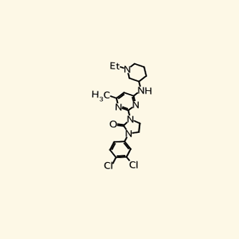 CCN1CCCC(Nc2cc(C)nc(N3CCN(c4ccc(Cl)c(Cl)c4)C3=O)n2)C1